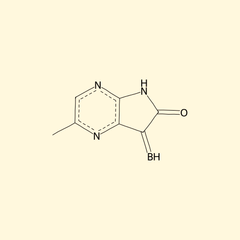 B=C1C(=O)Nc2ncc(C)nc21